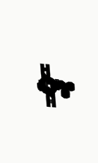 C1=Cc2cc3ccc(cc4nc(cc5ccc(cc1n2)[nH]5)C=C4)[nH]3.c1ccc(P(c2ccccc2)c2ccccc2)cc1